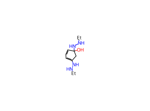 CCNNC1=CC=CC(O)(NNCC)C1